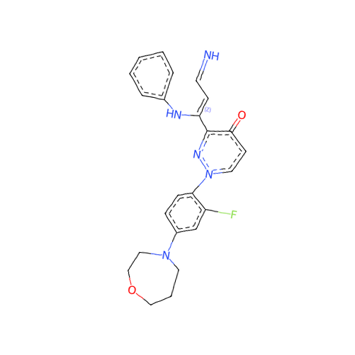 N=C/C=C(\Nc1ccccc1)c1nn(-c2ccc(N3CCCOCC3)cc2F)ccc1=O